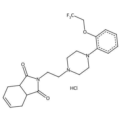 Cl.O=C1C2CC=CCC2C(=O)N1CCN1CCN(c2ccccc2OCC(F)(F)F)CC1